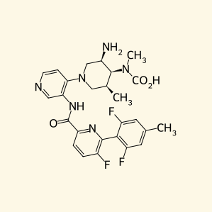 Cc1cc(F)c(-c2nc(C(=O)Nc3cnccc3N3C[C@@H](N)[C@@H](N(C)C(=O)O)[C@@H](C)C3)ccc2F)c(F)c1